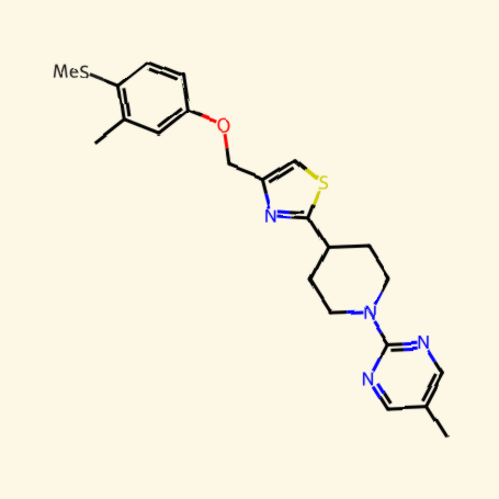 CSc1ccc(OCc2csc(C3CCN(c4ncc(C)cn4)CC3)n2)cc1C